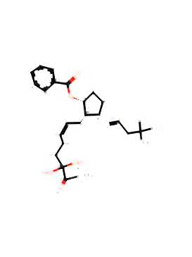 CCCCC(C)(C)C/C=C/[C@H]1CC[C@H](OC(=O)c2ccccc2)[C@@H]1C/C=C\CCC(O)(O)C(=O)OC